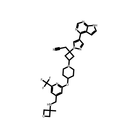 CC1(NCc2cc(OC3CCN(C4CC(CC#N)(n5cc(-c6ncnc7[nH]ccc67)cn5)C4)CC3)nc(C(F)(F)F)c2)COC1